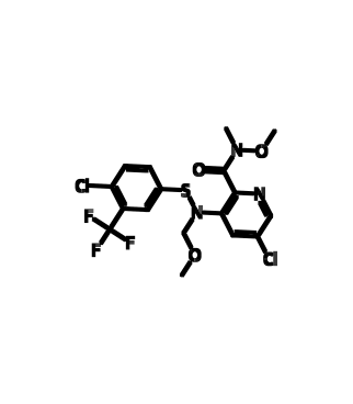 COCN(Sc1ccc(Cl)c(C(F)(F)F)c1)c1cc(Cl)cnc1C(=O)N(C)OC